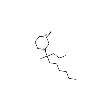 CCCCCCC(C)(CCC)N1CCC[C@@H](C)C1